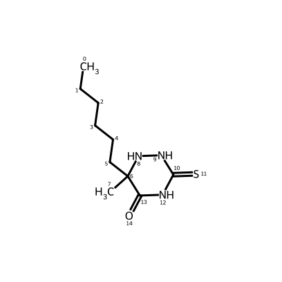 CCCCCCC1(C)NNC(=S)NC1=O